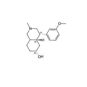 COc1cccc([C@H]2CN(C)CC3CC[C@@H](O)C[C@H]32)c1